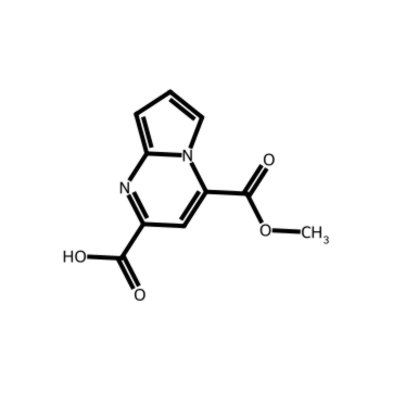 COC(=O)c1cc(C(=O)O)nc2cccn12